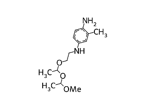 COC(C)OC(C)OCCNc1ccc(N)c(C)c1